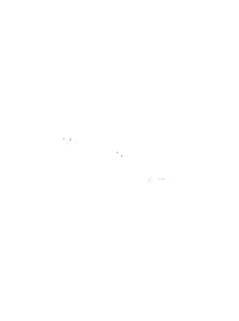 CCCCCCCCCCCCOC.N